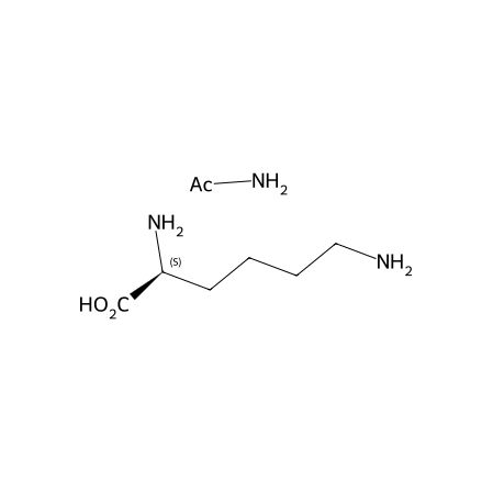 CC(N)=O.NCCCC[C@H](N)C(=O)O